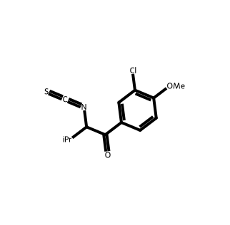 COc1ccc(C(=O)C(N=C=S)C(C)C)cc1Cl